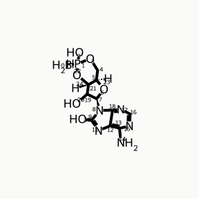 B[PH]1(O)OC[C@H]2O[C@@H](n3c(O)nc4c(N)ncnc43)C(O)[C@@H]2O1